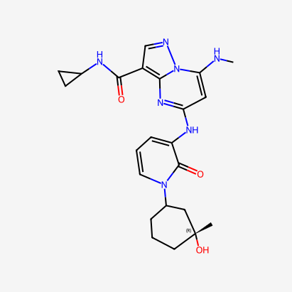 CNc1cc(Nc2cccn(C3CCC[C@@](C)(O)C3)c2=O)nc2c(C(=O)NC3CC3)cnn12